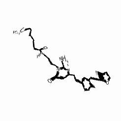 Nc1nc(CCc2cccc(-c3ccco3)c2)cc(=O)n1CCNC(=O)CCCCC(=O)O